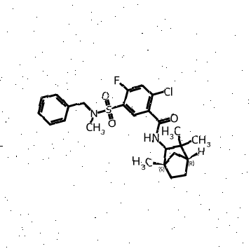 CN(Cc1ccccc1)S(=O)(=O)c1cc(C(=O)NC2C(C)(C)[C@@H]3CC[C@@]2(C)C3)c(Cl)cc1F